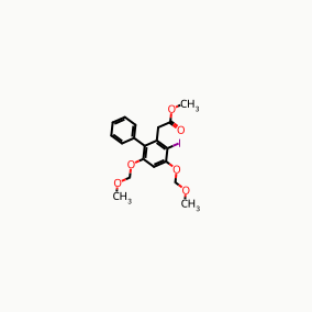 COCOc1cc(OCOC)c(-c2ccccc2)c(CC(=O)OC)c1I